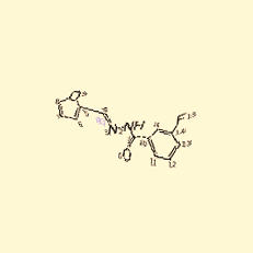 O=C(N/N=C/c1ccco1)c1cccc(F)c1